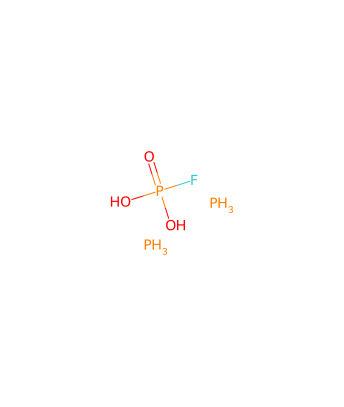 O=P(O)(O)F.P.P